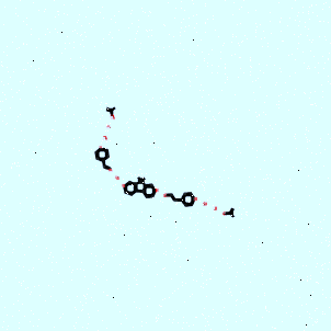 C=C(C)C(=O)OCOC(=O)Oc1ccc(C=COCOc2ccc3c(c2)C(C)(C)c2cc(OC(=O)C=Cc4ccc(OC(=O)OCOC(=O)C(=C)C)cc4)ccc2-3)cc1